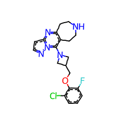 Fc1cccc(Cl)c1OCC1CN(c2c3c(nc4ccnn24)CCNCC3)C1